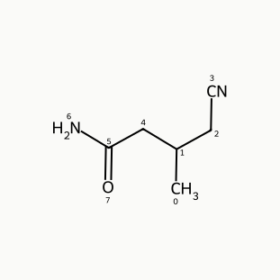 CC(CC#N)CC(N)=O